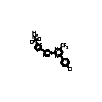 NS(=O)(=O)c1ccc(-c2cn(-c3nc(-c4ccc(Cl)cc4)cc(C(F)(F)F)n3)cn2)s1